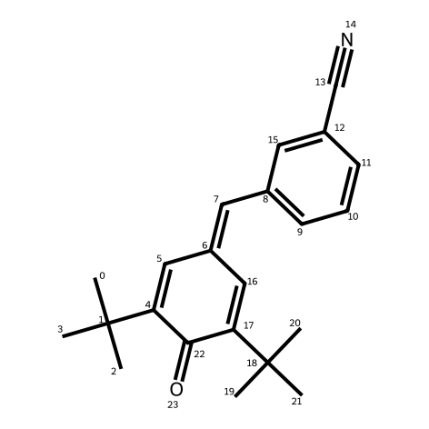 CC(C)(C)C1=CC(=Cc2cccc(C#N)c2)C=C(C(C)(C)C)C1=O